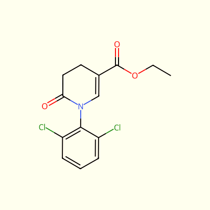 CCOC(=O)C1=CN(c2c(Cl)cccc2Cl)C(=O)CC1